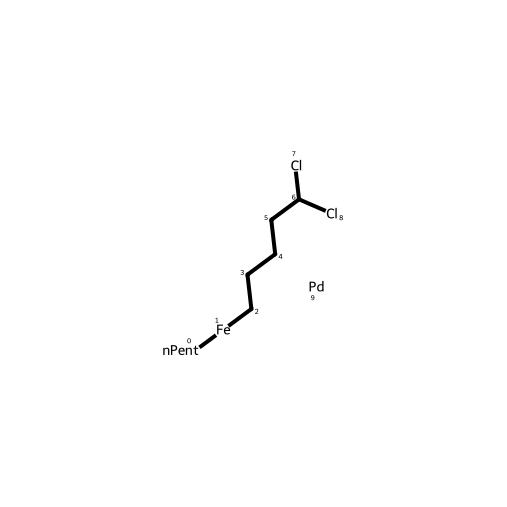 CCCC[CH2][Fe][CH2]CCCC(Cl)Cl.[Pd]